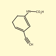 C#CC1=CC[CH]C(NC(=O)O)=C1